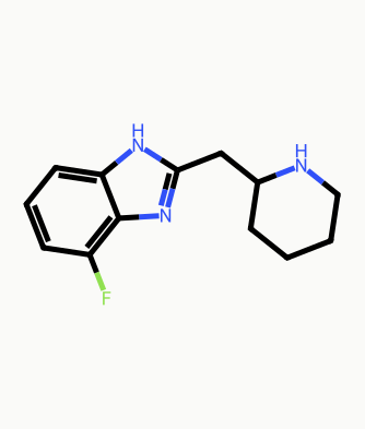 Fc1cccc2[nH]c(CC3CCCCN3)nc12